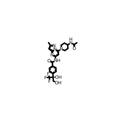 CC(=O)NC1CCN(c2cc(NC(=O)c3ccc([C@](O)(CO)C(F)(F)F)cc3)nc3cc(C)nn23)CC1